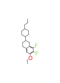 CCCC1CCC(C2CCc3cc(OCC)c(F)c(F)c3C2)CC1